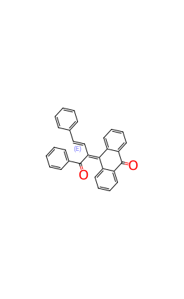 O=C(C(/C=C/c1ccccc1)=C1c2ccccc2C(=O)c2ccccc21)c1ccccc1